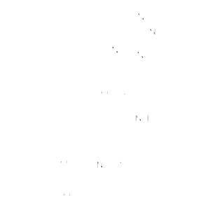 O=C(Cn1ncnn1)NC1CN(S(=O)(=O)O)C1=O